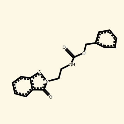 O=C(NCCn1sc2ccccc2c1=O)OCc1ccccc1